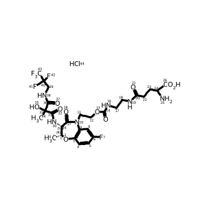 C[C@H]1Oc2ccc(F)cc2N(CCOC(=O)NCCNC(=O)CCC(N)C(=O)O)C(=O)[C@H]1NC(=O)C(C)(O)C(=O)NCC(F)(F)C(F)(F)F.Cl